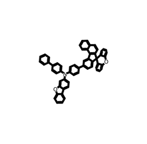 c1ccc(-c2ccc(N(c3ccc(-c4ccc5c(c4)-c4c(ccc6ccccc46)C54c5ccccc5Oc5ccccc54)cc3)c3ccc4c(c3)oc3ccccc34)cc2)cc1